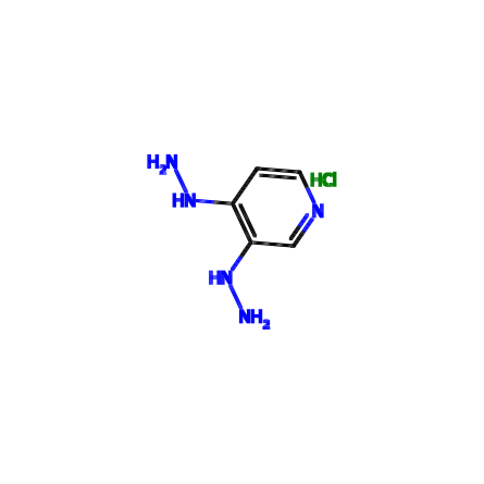 Cl.NNc1ccncc1NN